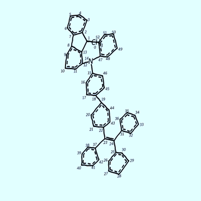 CC12c3ccccc3-c3cccc(c31)N(c1ccc(-c3ccc(C(=C(c4ccccc4)c4ccccc4)c4ccccc4)cc3)cc1)c1ccccc12